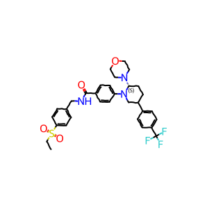 CCS(=O)(=O)c1ccc(CNC(=O)c2ccc(N3CC(c4ccc(C(F)(F)F)cc4)CC[C@H]3N3CCOCC3)cc2)cc1